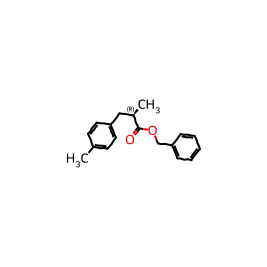 Cc1ccc(C[C@@H](C)C(=O)OCc2ccccc2)cc1